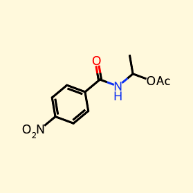 CC(=O)OC(C)NC(=O)c1ccc([N+](=O)[O-])cc1